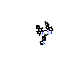 CC1C=CC2=C(C1)C(C1=N/C(c3ccc(-c4ccccn4)cc3)=C=CN/C(c3cc4c(c5c3C=CCC5C)C=CC(C)C4)=C\1)C(C)c1ccccc12